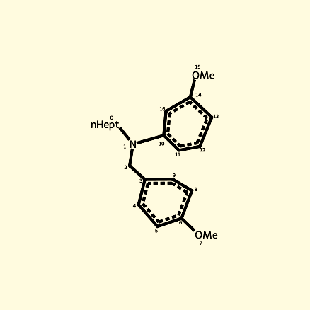 CCCCCCCN(Cc1ccc(OC)cc1)c1cccc(OC)c1